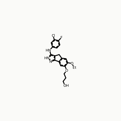 CCOc1cc2c(cc1OCCCO)-c1n[nH]c(Nc3ccc(F)c(Cl)c3)c1C2